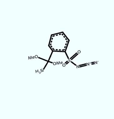 COC([SiH3])(OC)c1ccccc1S(=O)(=O)N=[N+]=[N-]